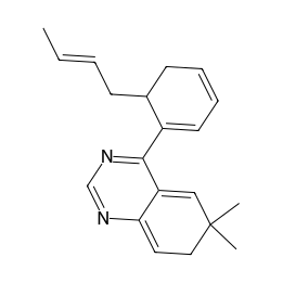 CC=CCC1CC=CC=C1c1ncnc2c1=CC(C)(C)CC=2